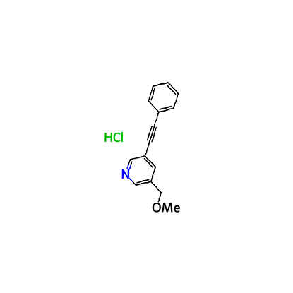 COCc1cncc(C#Cc2ccccc2)c1.Cl